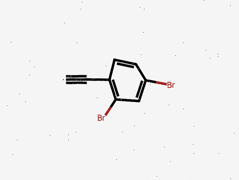 [C]#Cc1ccc(Br)cc1Br